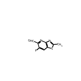 Cc1nc2nc(C=O)c(F)cc2s1